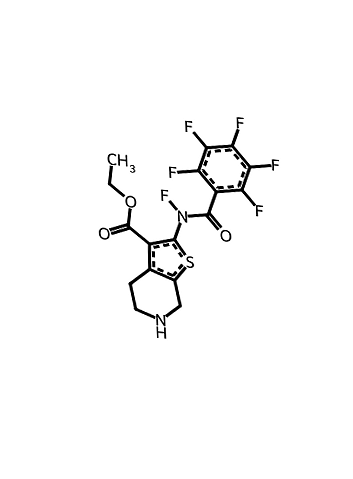 CCOC(=O)c1c(N(F)C(=O)c2c(F)c(F)c(F)c(F)c2F)sc2c1CCNC2